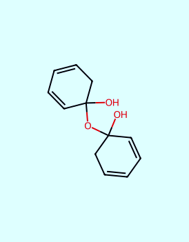 OC1(OC2(O)C=CC=CC2)C=CC=CC1